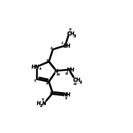 CBCC1NC=C(C(=N)N)N1NC